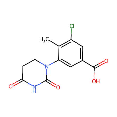 Cc1c(Cl)cc(C(=O)O)cc1N1CCC(=O)NC1=O